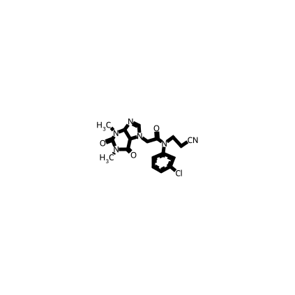 CN1C(=O)C2C(N=CN2CC(=O)N(CCC#N)c2cccc(Cl)c2)N(C)C1=O